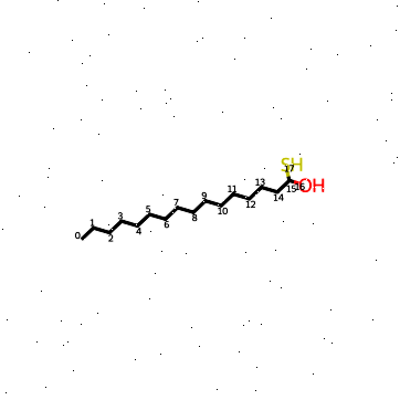 CCCCCCCCCCCCCCCC(O)S